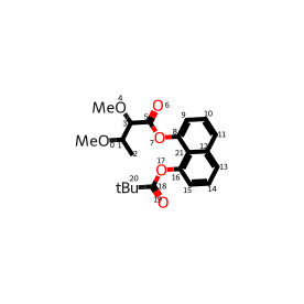 COC(C)C(OC)C(=O)Oc1cccc2cccc(OC(=O)C(C)(C)C)c12